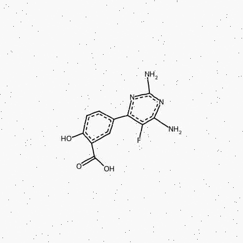 Nc1nc(N)c(F)c(-c2ccc(O)c(C(=O)O)c2)n1